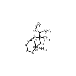 CC(C)OC(N)[C@@]1(C)C=C2CCC[C@H](C2)C1